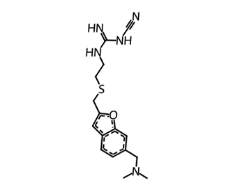 CN(C)Cc1ccc2cc(CSCCNC(=N)NC#N)oc2c1